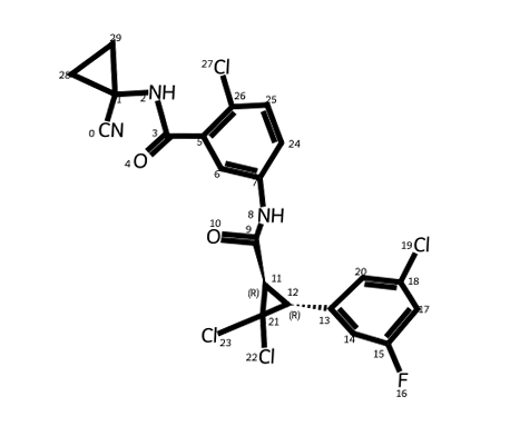 N#CC1(NC(=O)c2cc(NC(=O)[C@H]3[C@H](c4cc(F)cc(Cl)c4)C3(Cl)Cl)ccc2Cl)CC1